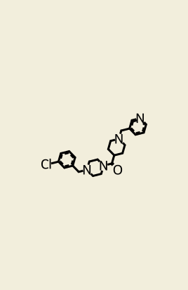 O=C(C1CCN(Cc2cccnc2)CC1)N1CCN(Cc2cccc(Cl)c2)CC1